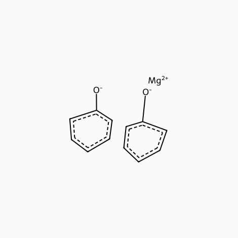 [Mg+2].[O-]c1ccccc1.[O-]c1ccccc1